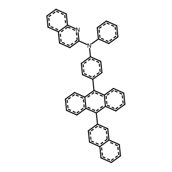 c1ccc(N(c2ccc(-c3c4ccccc4c(-c4ccc5ccccc5c4)c4ccccc34)cc2)c2ccc3ccccc3n2)cc1